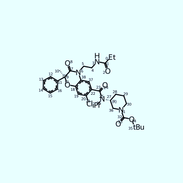 CCC(=O)NCCN1C(=O)[C@](C)(c2ccccc2)Oc2cc(Cl)c(C(=O)N(C(C)C)[C@@H]3CCCN(C(=O)OC(C)(C)C)C3)cc21